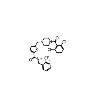 O=C(NCc1ccccc1C(F)(F)F)c1ccc(CN2CCN(C(=O)c3c(Cl)cccc3Cl)CC2)s1